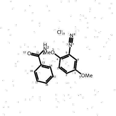 COc1ccc(OC)c([N+]#N)c1.NC(=O)c1ccccc1.[Cl-]